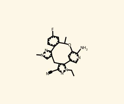 CCn1nc(C#N)c2c1-c1cnc(N)c(c1)OC(C)c1cc(F)ccc1-c1nn(C)cc1C2